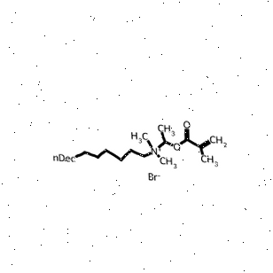 C=C(C)C(=O)OC(C)[N+](C)(C)CCCCCCCCCCCCCCCC.[Br-]